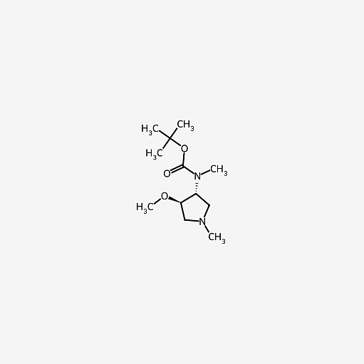 CO[C@@H]1CN(C)C[C@H]1N(C)C(=O)OC(C)(C)C